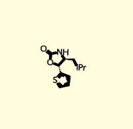 CC(C)C[C@@H]1NC(=O)O[C@H]1c1cccs1